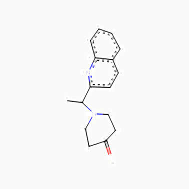 CC(c1ccc2ccccc2n1)N1CCC(=O)CC1